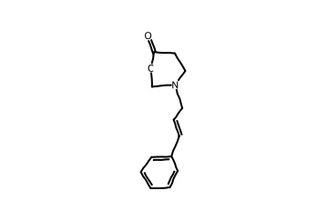 O=C1CCN(CC=Cc2ccccc2)CC1